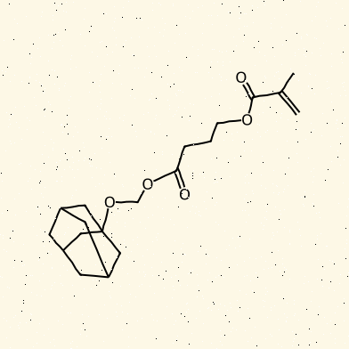 C=C(C)C(=O)OCCCC(=O)OCOC12CC3CC(CC(C3)C1)C2